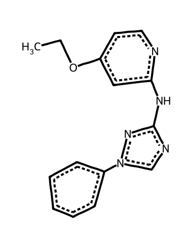 CCOc1ccnc(Nc2ncn(-c3ccccc3)n2)c1